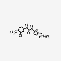 Cc1ccc(NC(=O)Nc2nc(CNC(C)C)cs2)cc1Cl